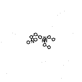 c1ccc(-c2cccc(-c3nc(-c4ccc(-c5cccc(-c6cccc7c(-c8ccccc8)nc8ccccc8c67)c5)cc4)nc(-c4cccc(-c5ccccc5)c4)n3)c2)cc1